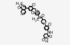 COc1cc(-c2cn(C)c(=O)c3cnccc23)cc(Cl)c1CN1CCC(N(C)C(=O)C2CCN(c3ccc(NC4CCC(=O)NC4=O)cc3Cl)CC2)CC1